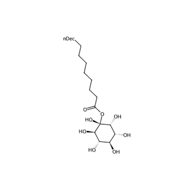 CCCCCCCCCCCCCCCCCC(=O)O[C@]1(O)[C@H](O)[C@H](O)[C@@H](O)[C@H](O)[C@H]1O